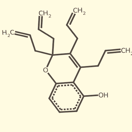 C=CCC1=C(CC=C)C(CC=C)(CC=C)Oc2cccc(O)c21